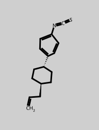 C=CC[C@H]1CC[C@H](c2ccc(N=C=S)cc2)CC1